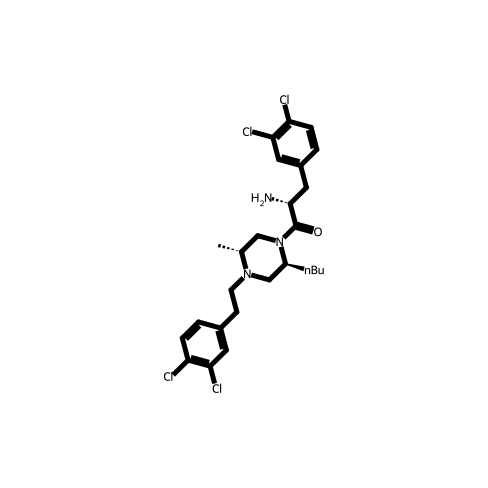 CCCC[C@H]1CN(CCc2ccc(Cl)c(Cl)c2)[C@H](C)CN1C(=O)[C@H](N)Cc1ccc(Cl)c(Cl)c1